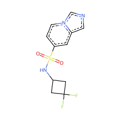 O=S(=O)(NC1CC(F)(F)C1)c1ccn2cncc2c1